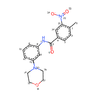 Cc1ccc(C(=O)Nc2cccc(N3CCOCC3)c2)cc1[N+](=O)[O-]